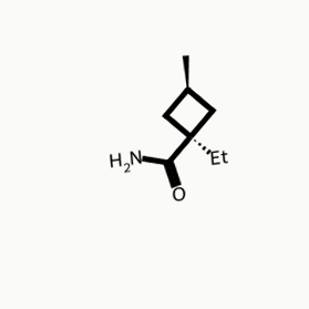 CC[C@]1(C(N)=O)C[C@@H](C)C1